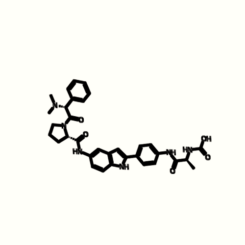 C[C@H](NC(=O)O)C(=O)Nc1ccc(-c2cc3cc(NC(=O)[C@@H]4CCCN4C(=O)[C@@H](c4ccccc4)N(C)C)ccc3[nH]2)cc1